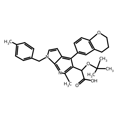 Cc1ccc(Cn2ccc3c(-c4ccc5c(c4)CCCO5)c(C(OC(C)(C)C)C(=O)O)c(C)nc32)cc1